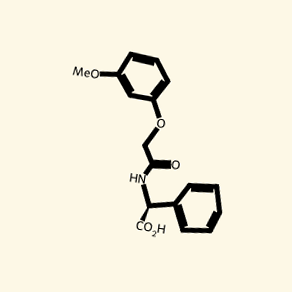 COc1cccc(OCC(=O)N[C@H](C(=O)O)c2ccccc2)c1